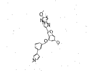 COc1cc(OCc2cccc(-c3ccn(C)c3)c2)c2cc(-c3cn4nc(OC)sc4n3)oc2c1